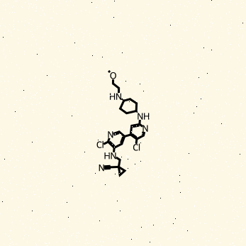 COCCN[C@H]1CC[C@H](Nc2cc(-c3cnc(Cl)c(NCC4(C#N)CC4)c3)c(Cl)cn2)CC1